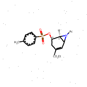 CCOC(=O)C1=CC2[C@@H]([C@H](OS(=O)(=O)c3ccc(C)cc3)C1)N2C(C)=O